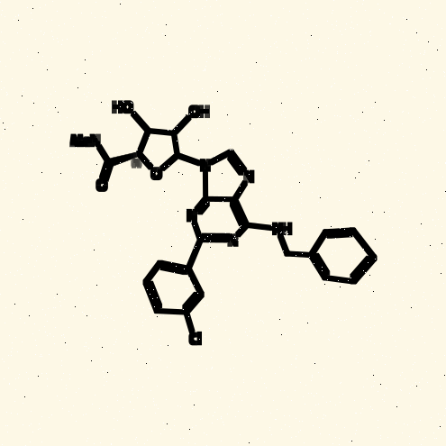 CNC(=O)[C@@H]1OC(n2cnc3c(NCc4ccccc4)nc(-c4cccc(Cl)c4)nc32)C(O)C1O